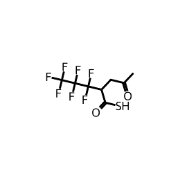 CC(=O)CC(C(=O)S)C(F)(F)C(F)(F)C(F)(F)F